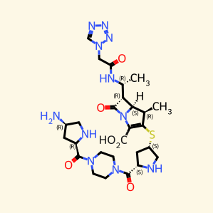 C[C@@H](NC(=O)Cn1cnnn1)[C@H]1C(=O)N2C(C(=O)O)=C(S[C@@H]3CN[C@H](C(=O)N4CCN(C(=O)[C@H]5C[C@@H](N)CN5)CC4)C3)[C@H](C)[C@H]12